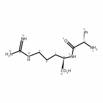 CC(C)[C@H](N)C(=O)N[C@H](CCCNC(=N)N)C(=O)O